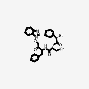 CC[C@H](C(=O)C[C@H](CC(C)C)C(=O)NC(Cc1ccccc1)C(=O)COn1nnc2ccccc21)c1ccccc1